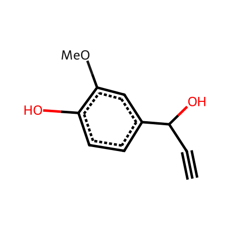 C#CC(O)c1ccc(O)c(OC)c1